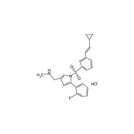 CNCc1cc(-c2ccccc2F)n(S(=O)(=O)c2cccc(/C=C/C3CC3)c2)c1.Cl